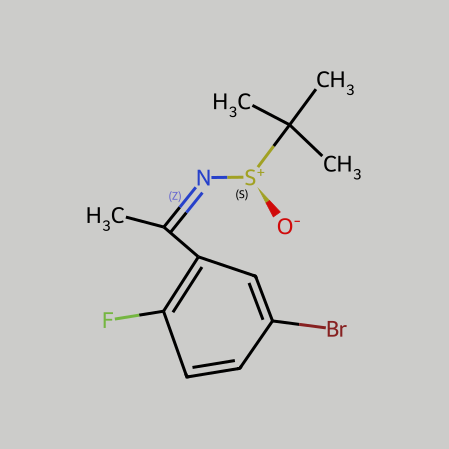 C/C(=N/[S@+]([O-])C(C)(C)C)c1cc(Br)ccc1F